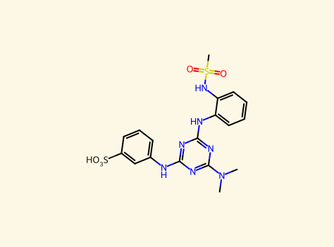 CN(C)c1nc(Nc2cccc(S(=O)(=O)O)c2)nc(Nc2ccccc2NS(C)(=O)=O)n1